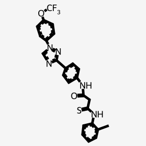 Cc1ccccc1NC(=S)CC(=O)Nc1ccc(-c2ncn(-c3ccc(OC(F)(F)F)cc3)n2)cc1